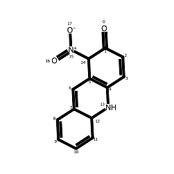 O=C1C=CC2=C(C=C3C=CC=CC3N2)C1[N+](=O)[O-]